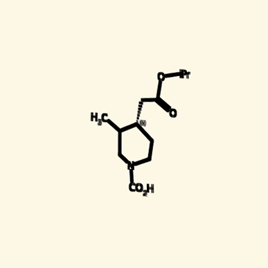 CC(C)OC(=O)C[C@@H]1CCN(C(=O)O)CC1C